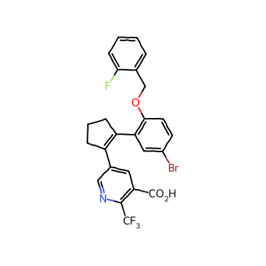 O=C(O)c1cc(C2=C(c3cc(Br)ccc3OCc3ccccc3F)CCC2)cnc1C(F)(F)F